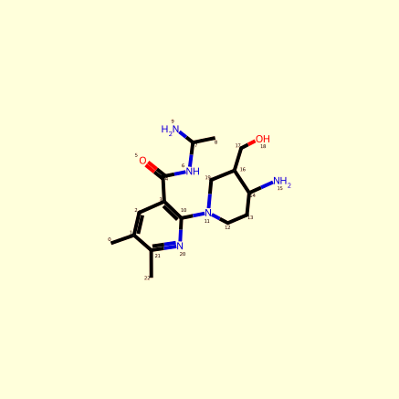 Cc1cc(C(=O)NC(C)N)c(N2CCC(N)C(CO)C2)nc1C